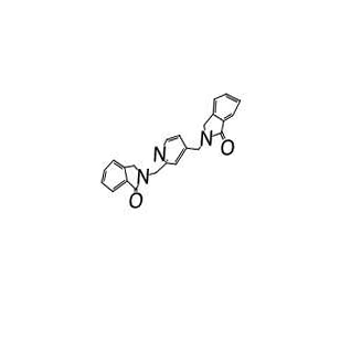 O=C1c2ccccc2CN1Cc1ccnc(CN2Cc3ccccc3C2=O)c1